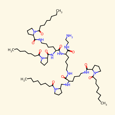 CCCCCCCC(=O)N1CCCC1CNC(CCCCNC(=O)C1CCCN1C(=O)CCCCCCC)C(=O)NCCCCC(NC(=O)C(CCCCNC(=O)C1CCCN1C(=O)CCCCCCC)NC(=O)C1CCCN1C(=O)CCCCCCC)C(=O)NCCN